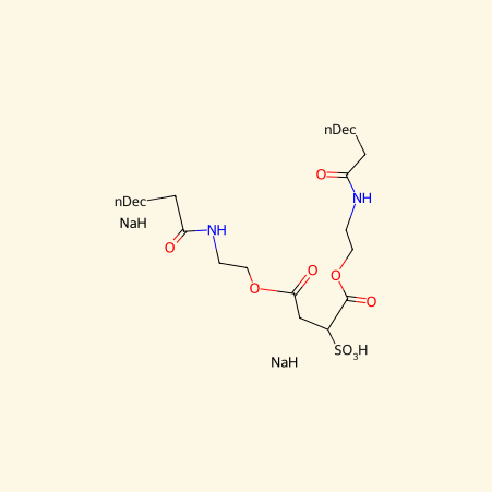 CCCCCCCCCCCC(=O)NCCOC(=O)CC(C(=O)OCCNC(=O)CCCCCCCCCCC)S(=O)(=O)O.[NaH].[NaH]